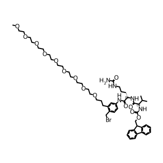 COCCOCCOCCOCCOCCOCCOCCOCCOCCCc1cc(NC(=O)[C@H](CCCNC(N)=O)NC(=O)[C@@H](NC(=O)OCC2c3ccccc3-c3ccccc32)C(C)C)ccc1CBr